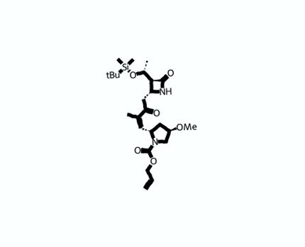 C=CCOC(=O)N1C[C@H](OC)C[C@H]1C=C(C)C(=O)C[C@H]1NC(=O)[C@@H]1[C@@H](C)O[Si](C)(C)C(C)(C)C